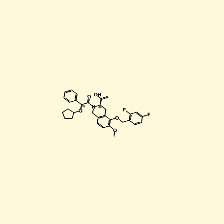 C=C(O)[C@H]1Cc2c(ccc(OC)c2OCc2ccc(F)cc2F)CN1C(=O)[C@@H](OC1CCCC1)c1ccccc1